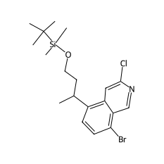 CC(CCO[Si](C)(C)C(C)(C)C)c1ccc(Br)c2cnc(Cl)cc12